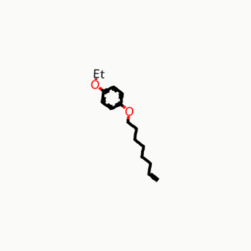 C=CCCCCCCOc1ccc(OCC)cc1